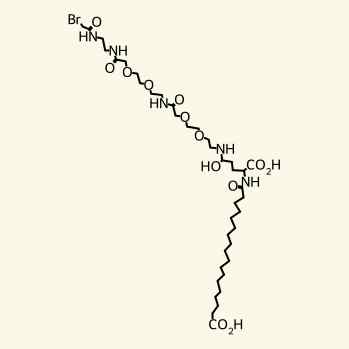 O=C(O)CCCCCCCCCCCCCCCCC(=O)NC(CCC(O)NCCOCCOCC(=O)NCCOCCOCC(=O)NCCNC(=O)CBr)C(=O)O